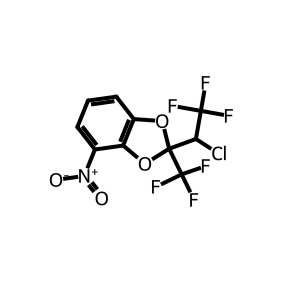 O=[N+]([O-])c1cccc2c1OC(C(Cl)C(F)(F)F)(C(F)(F)F)O2